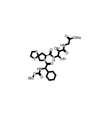 CCCC(NC(=O)[C@@H]1CC2(CN1C(=O)C(NC(=O)OC(C)(C)C)C1CCCCC1)SCCS2)C(O)C(=O)NCC(=O)OC